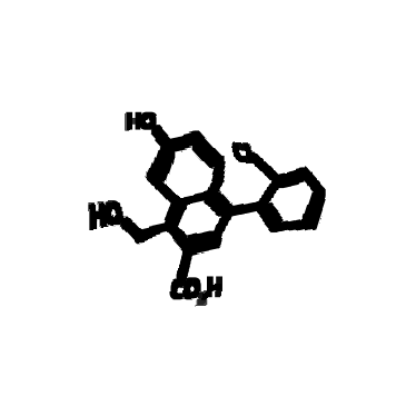 O=C(O)c1cc(-c2ccccc2Cl)c2ccc(O)cc2c1CO